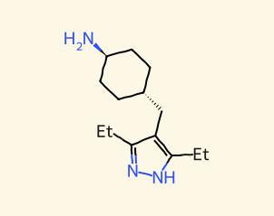 CCc1n[nH]c(CC)c1C[C@H]1CC[C@H](N)CC1